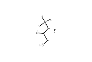 C[N+](C)(C)CC(Cl)CO.[I-]